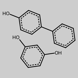 Oc1ccc(-c2ccccc2)cc1.Oc1cccc(O)c1